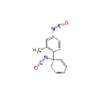 Cc1cc(N=C=O)ccc1C1(N=C=O)C=CC=CC1